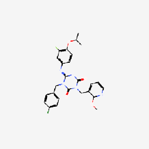 COC1NC=CC=C1Cn1c(=O)[nH]/c(=N\c2ccc(OC(C)C)c(F)c2)n(Cc2ccc(Cl)cc2)c1=O